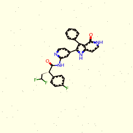 O=C(Nc1cc(-c2[nH]c3cc[nH]c(=O)c3c2-c2ccccc2)ccn1)[C@@H](CC(F)F)c1ccc(F)cc1